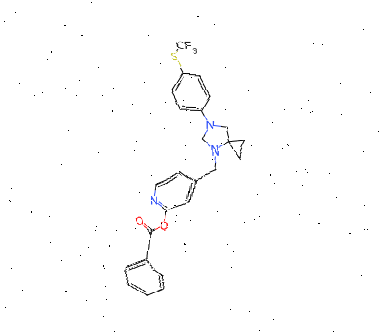 O=C(Oc1cc(CN2CN(c3ccc(SC(F)(F)F)cc3)CC23CC3)ccn1)c1ccccc1